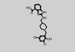 O=C(O)c1cccc2[nH]c(NCC3CCN(Cc4cc(Cl)cc(Cl)c4O)CC3)nc12